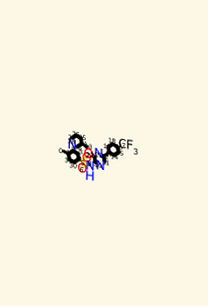 Cc1ccc(S(=O)(=O)Nc2ncc(-c3ccc(C(F)(F)F)cc3)nc2OCc2cccnc2)cc1